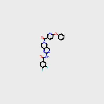 O=C(NC1=NCC2=CN(C(=O)c3ccc(Oc4ccccc4)nc3)CCC2=N1)c1ccc(F)c(F)c1